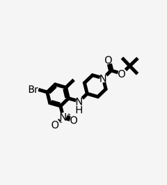 Cc1cc(Br)cc([N+](=O)[O-])c1NC1CCN(C(=O)OC(C)(C)C)CC1